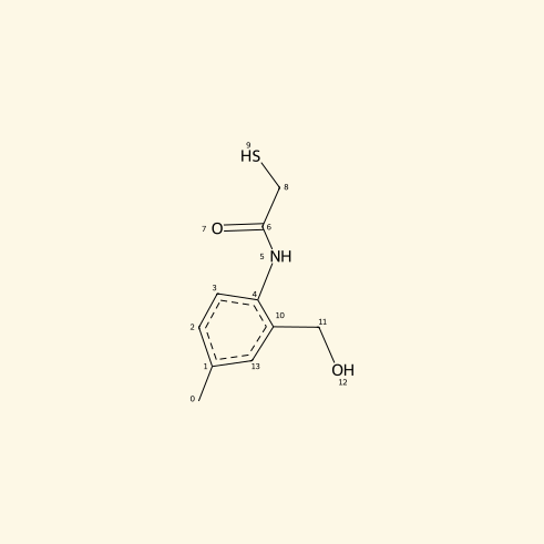 Cc1ccc(NC(=O)CS)c(CO)c1